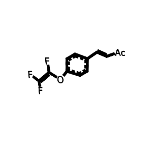 CC(=O)C=Cc1ccc(OC(F)=C(F)F)cc1